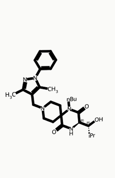 CCCCN1C(=O)[C@@H]([C@H](O)C(C)C)NC(=O)C12CCN(Cc1c(C)nn(-c3ccccc3)c1C)CC2